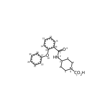 O=C(NC1CCN(C(=O)O)CC1)c1ccccc1Oc1ccccc1